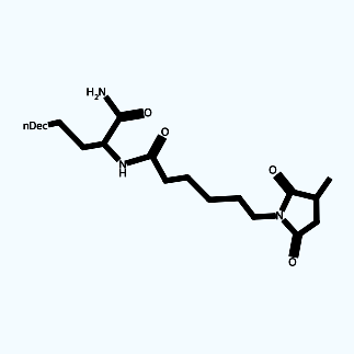 CCCCCCCCCCCCC(NC(=O)CCCCCN1C(=O)CC(C)C1=O)C(N)=O